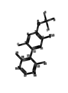 Cc1cc(OC(C)(C)C)c(F)cc1-c1c(C)ncnc1C